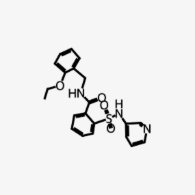 CCOc1ccccc1CNC(=O)c1ccccc1S(=O)(=O)Nc1cccnc1